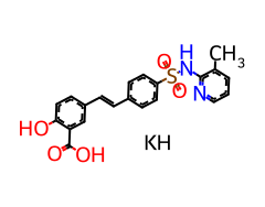 Cc1cccnc1NS(=O)(=O)c1ccc(C=Cc2ccc(O)c(C(=O)O)c2)cc1.[KH]